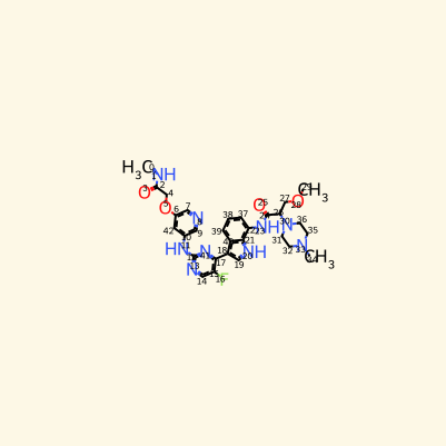 CNC(=O)COc1cncc(Nc2ncc(F)c(-c3c[nH]c4c(NC(=O)C(COC)N5CCN(C)CC5)cccc34)n2)c1